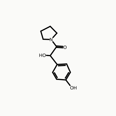 O=C(C(O)c1ccc(O)cc1)N1CCCC1